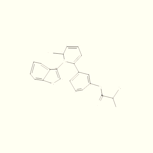 CC(N)C(=O)Nc1cccc(C2=CC=CC(F)N2c2c[nH]c3ccccc23)c1